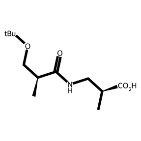 C[C@@H](CNC(=O)[C@@H](C)COC(C)(C)C)C(=O)O